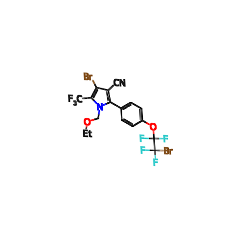 CCOCn1c(-c2ccc(OC(F)(F)C(F)(F)Br)cc2)c(C#N)c(Br)c1C(F)(F)F